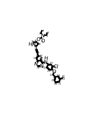 CCN(CC)C(=O)O[C@H]1CN[C@H](C#Cc2cc3ncnc(Nc4ccc(OCc5cccc(F)c5)c(Cl)c4)c3s2)C1